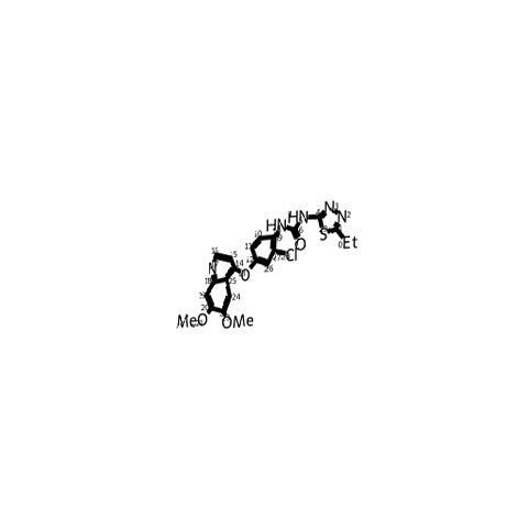 CCc1nnc(NC(=O)Nc2ccc(Oc3ccnc4cc(OC)c(OC)cc34)cc2Cl)s1